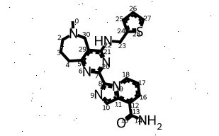 CN1CCCc2nc(-c3ncc4c(C(N)=O)cccn34)nc(NCc3cccs3)c2C1